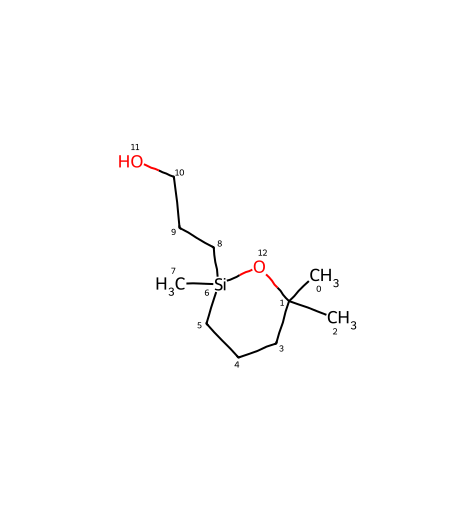 CC1(C)CCC[Si](C)(CCCO)O1